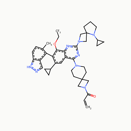 C=CC(=O)N1CC2(CCN(c3nc(N4CC5(CCCN5C5CC5)C4)nc4c(OCC(F)(F)F)c(-c5c(C)ccc6[nH]ncc56)c(C5CC5)cc34)CC2)C1